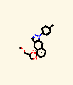 COCC1COC2(CCCC3=Cc4c(cnn4-c4ccc(C)cc4)C[C@@]32C)O1